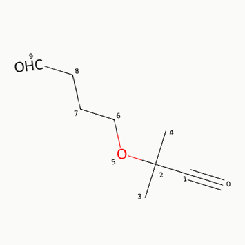 C#CC(C)(C)OCCCC=O